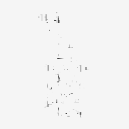 [2H]c1c(O)c2c(c([2H])c1C(C)(C)CCCCC([2H])([2H])C)OC(C)(C)[C@@H]1CCC(=O)C[C@@H]21